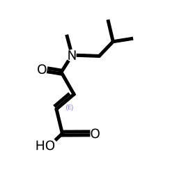 CC(C)CN(C)C(=O)/C=C/C(=O)O